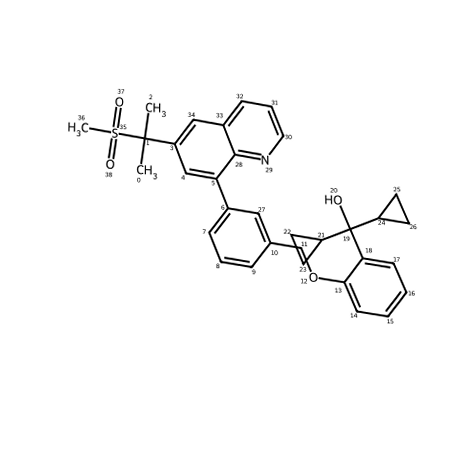 CC(C)(c1cc(-c2cccc(COc3ccccc3C(O)(C3CC3)C3CC3)c2)c2ncccc2c1)S(C)(=O)=O